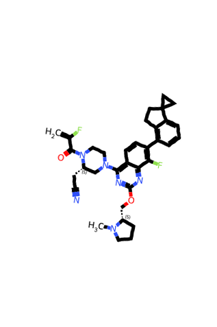 C=C(F)C(=O)N1CCN(c2nc(OC[C@@H]3CCCN3C)nc3c(F)c(-c4cccc5c4CCC54CC4)ccc23)C[C@@H]1CC#N